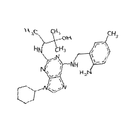 Cc1ccc(N)c(CNc2nc(NC(C)C(C)(C)O)nc3c2ncn3C2CCCCC2)c1